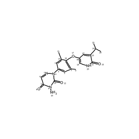 Cc1cc(-n2ncc(=O)n(N)c2=O)cc(C)c1Oc1c[nH]c(=O)c(C(C)C)c1